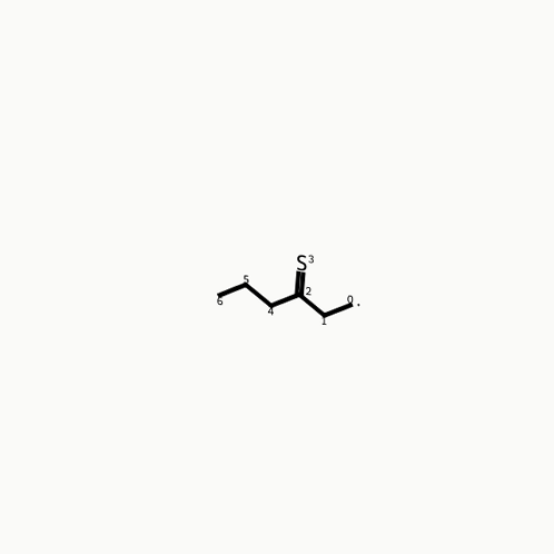 [CH2]CC(=S)CCC